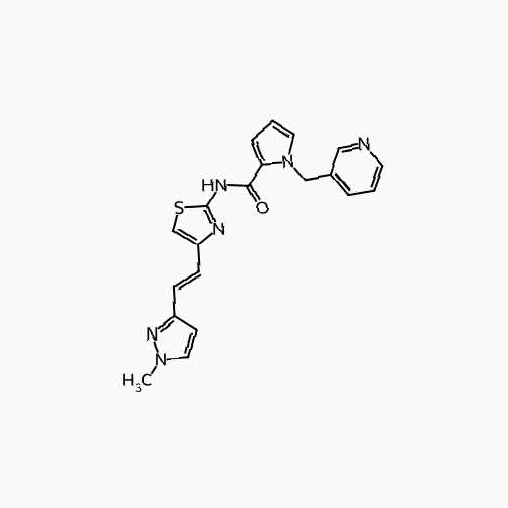 Cn1ccc(/C=C/c2csc(NC(=O)c3cccn3Cc3cccnc3)n2)n1